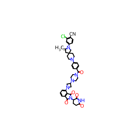 C[C@H]1CC2(CCN(c3ccc(C(=O)N4CCN(C5CN(c6cccc7c6C(=O)N(C6CCC(=O)NC6=O)C7=O)C5)CC4)cc3)CC2)CN1c1ccc(C#N)c(Cl)c1